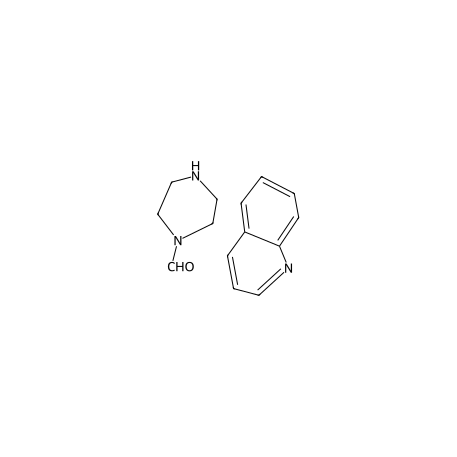 O=CN1CCNCC1.c1ccc2ncccc2c1